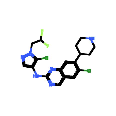 FC(F)Cn1ncc(Nc2ncc3cc(Cl)c(C4CCNCC4)cc3n2)c1Cl